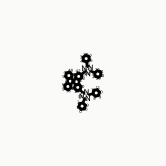 c1ccc(-c2nc(-c3ccccc3)nc(-c3ccc4c(c3)-c3cc(-c5nc(-c6ccccc6)nc(-c6ccccc6)n5)ccc3C43c4ccccc4-c4ccccc43)n2)cc1